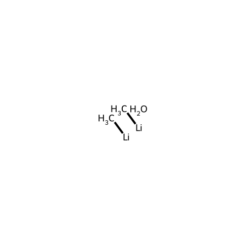 O.[Li][CH3].[Li][CH3]